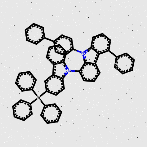 c1ccc(-c2ccc(-n3c4cccc(-c5ccccc5)c4c4cccc(-n5c6ccccc6c6cc([Si](c7ccccc7)(c7ccccc7)c7ccccc7)ccc65)c43)cc2)cc1